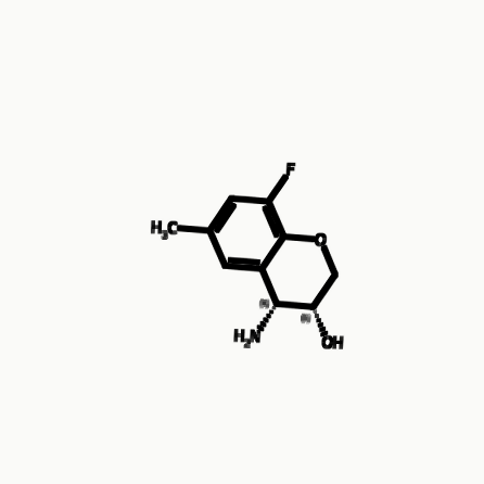 Cc1cc(F)c2c(c1)[C@@H](N)[C@@H](O)CO2